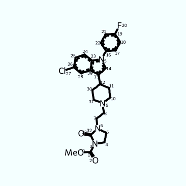 COC(=O)N1CCN(CCN2CCC(c3cn(-c4ccc(F)cc4)c4ccc(Cl)cc34)CC2)C1=O